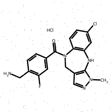 Cl.Cn1ncc2c1Nc1cc(Cl)ccc1N(C(=O)c1ccc(CN)c(F)c1)C2